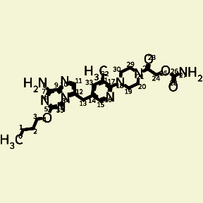 CCCCOc1nc(N)c2ncc(Cc3cnc(N4CCN(C(=O)COC(N)=O)CC4)c(C)c3)n2n1